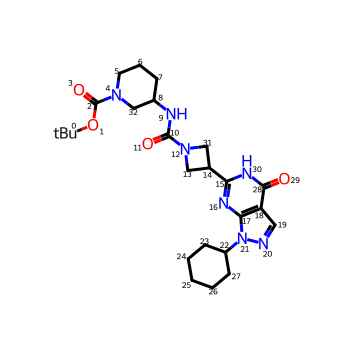 CC(C)(C)OC(=O)N1CCCC(NC(=O)N2CC(c3nc4c(cnn4C4CCCCC4)c(=O)[nH]3)C2)C1